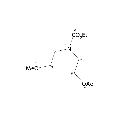 CCOC(=O)N(CCOC)CCOC(C)=O